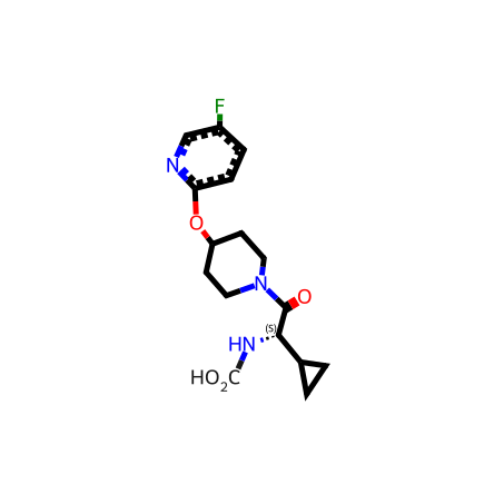 O=C(O)N[C@H](C(=O)N1CCC(Oc2ccc(F)cn2)CC1)C1CC1